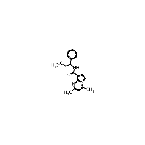 COCC(NC(=O)c1ccn2c(C)cc(C)nc12)c1ccccc1